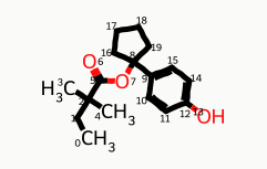 CCC(C)(C)C(=O)OC1(c2ccc(O)cc2)CCCC1